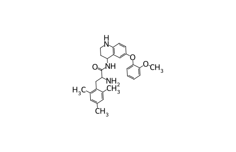 COc1ccccc1Oc1ccc2c(c1)C(NC(=O)C(N)Cc1c(C)cc(C)cc1C)CCN2